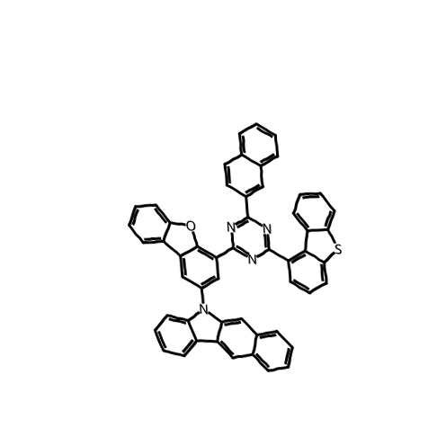 c1ccc2cc(-c3nc(-c4cc(-n5c6ccccc6c6cc7ccccc7cc65)cc5c4oc4ccccc45)nc(-c4cccc5sc6ccccc6c45)n3)ccc2c1